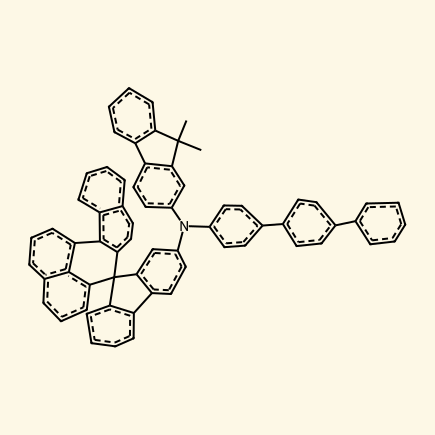 CC1(C)c2ccccc2-c2ccc(N(c3ccc(-c4ccc(-c5ccccc5)cc4)cc3)c3ccc4c(c3)C3(c5ccccc5-4)c4ccc5ccccc5c4-c4cccc5cccc3c45)cc21